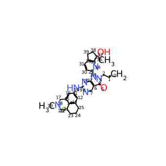 C=CCn1c(=O)c2cnc(Nc3cc4c5c(c3)CN(C)C[C@@]5(F)CCC4)nc2n1-c1ccc2c(n1)[C@](C)(O)CC2